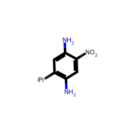 CC(C)c1cc(N)c([N+](=O)[O-])cc1N